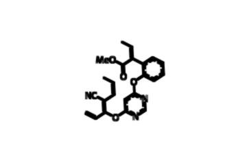 C=CC(Oc1cc(Oc2ccccc2C(=CC)C(=O)OC)ncn1)=C(C#N)C=CC